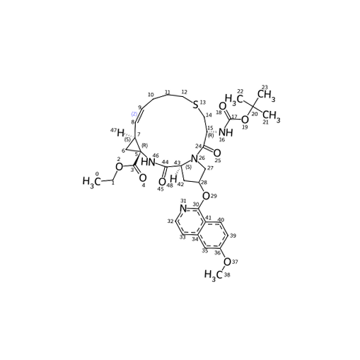 CCOC(=O)[C@@]12C[C@H]1/C=C\CCCSC[C@H](NC(=O)OC(C)(C)C)C(=O)N1CC(Oc3nccc4cc(OC)ccc34)C[C@H]1C(=O)N2